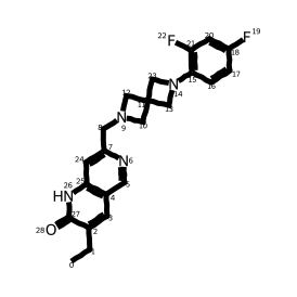 CCc1cc2cnc(CN3CC4(C3)CN(c3ccc(F)cc3F)C4)cc2[nH]c1=O